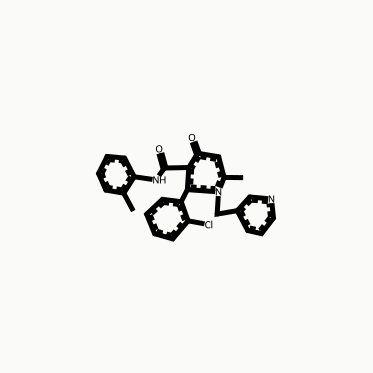 Cc1ccccc1NC(=O)c1c(-c2ccccc2Cl)n(Cc2cccnc2)c(C)cc1=O